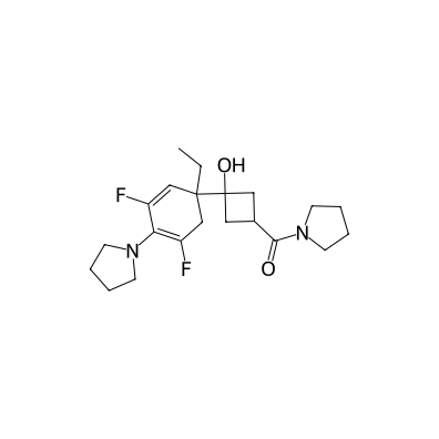 CCC1(C2(O)CC(C(=O)N3CCCC3)C2)C=C(F)C(N2CCCC2)=C(F)C1